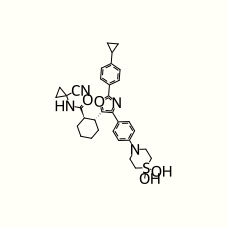 N#CC1(NC(=O)[C@@H]2CCCC[C@H]2c2oc(-c3ccc(C4CC4)cc3)nc2-c2ccc(N3CCS(O)(O)CC3)cc2)CC1